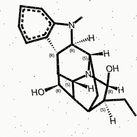 CC[C@H]1C2C[C@H]3[C@@H]4N(C)c5ccccc5[C@]45C[C@@H](C2[C@H]5O)N3[C@@H]1O